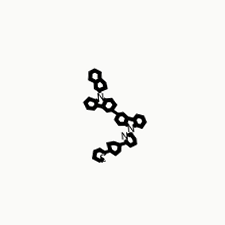 c1ccc(-c2ccc(-c3cccc(-n4c5ccccc5c5cc(-c6ccc7c(c6)c6ccccc6n7-c6ccc7ccccc7c6)ccc54)n3)cc2)cc1